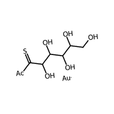 CC(=O)C(=S)C(O)C(O)C(O)C(O)CO.[Au]